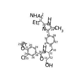 CC[C@@H](NC(C)=O)c1nc(-c2ccc(C[C@@H](CCO)NC(=O)c3ccc(OC(C)C)c(Cl)c3)cc2)c(C)[nH]1